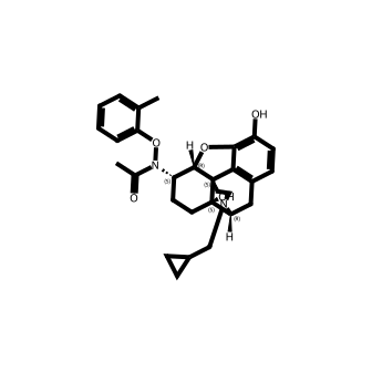 CC(=O)N(Oc1ccccc1C)[C@H]1CC[C@@]2(O)[C@H]3Cc4ccc(O)c5c4[C@@]2(CCN3CC2CC2)[C@H]1O5